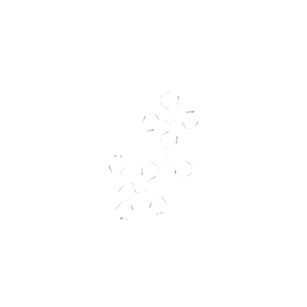 c1ccc(-c2cc3ccccc3c3c2c2ccc(N(c4ccccc4)c4ccc(C5(c6ccccc6)c6ccccc6-c6ccccc65)cc4)cc2n3-c2ccccc2)cc1